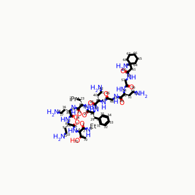 CCNC(=O)C(NC(=O)[C@H](CCN)NC(=O)[C@H](CCN)NC(=O)[C@H](CC(C)C)NC(=O)[C@@H](Cc1ccccc1)NC(=O)[C@H](CCN)NC(=O)CNC(=O)[C@H](CCN)NC(=O)CNC(=O)CC1(N)CCCCC1)C(C)O